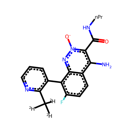 [2H]C([2H])([2H])c1ncccc1-c1c(F)ccc2c(N)c(C(=O)NCCC)[n+]([O-])nc12